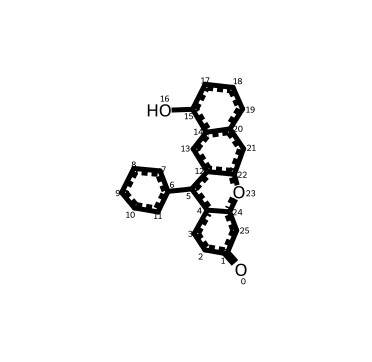 O=c1ccc2c(-c3ccccc3)c3cc4c(O)cccc4cc3oc-2c1